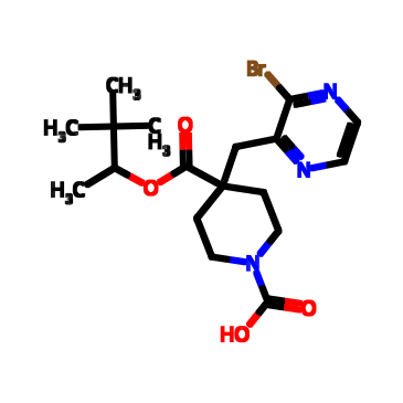 CC(OC(=O)C1(Cc2nccnc2Br)CCN(C(=O)O)CC1)C(C)(C)C